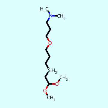 COC(C[SiH2]CCCOCCCN(C)C)OC